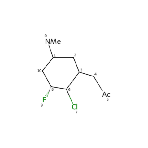 CNC1CC(CC(C)=O)C(Cl)[C@H](F)C1